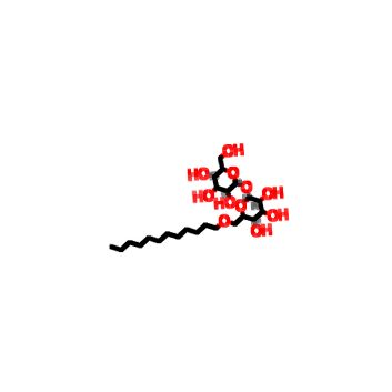 CCCCCCCCCCCCOCC1O[C@H](O[C@H]2OC(CO)[C@@H](O)C(O)[C@@H]2O)[C@@H](O)C(O)[C@@H]1O